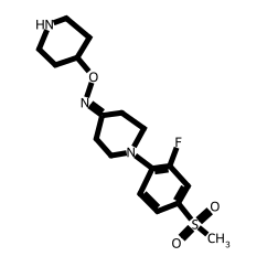 CS(=O)(=O)c1ccc(N2CCC(=NOC3CCNCC3)CC2)c(F)c1